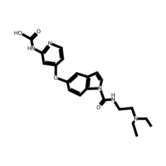 CCN(CC)CCNC(=O)n1ccc2cc(Oc3ccnc(NC(=O)O)c3)ccc21